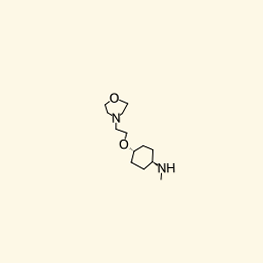 CN[C@H]1CC[C@H](OCCN2CCOCC2)CC1